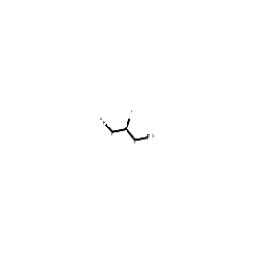 FCC(I)CF